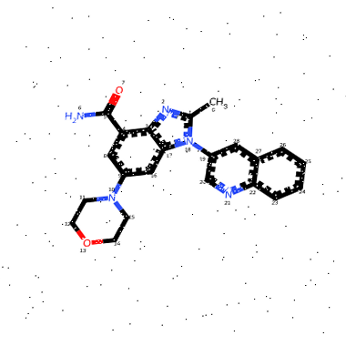 Cc1nc2c(C(N)=O)cc(N3CCOCC3)cc2n1-c1cnc2ccccc2c1